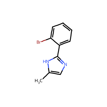 Cc1cnc(-c2ccccc2Br)[nH]1